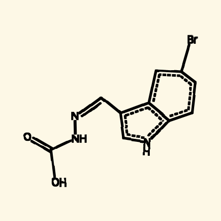 O=C(O)N/N=C\c1c[nH]c2ccc(Br)cc12